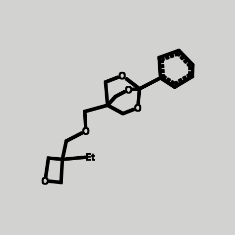 CCC1(COCC23COC(c4ccccc4)(OC2)OC3)COC1